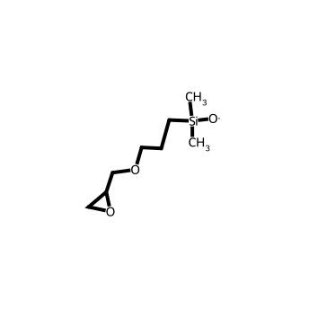 C[Si](C)([O])CCCOCC1CO1